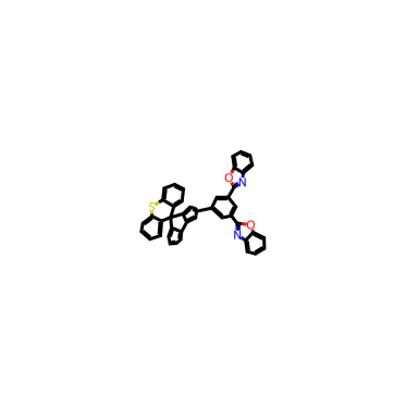 c1ccc2c(c1)Sc1ccccc1C21c2ccccc2-c2cc(-c3cc(-c4nc5ccccc5o4)cc(-c4nc5ccccc5o4)c3)ccc21